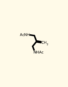 C=C(CNC(C)=O)CNC(C)=O